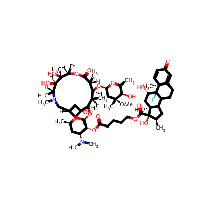 CC[C@H]1OC(=O)[C@H](C)[C@@H](O[C@@H]2C[C@](C)(OC)[C@H](O)C(C)O2)[C@H](C)[C@@H](O[C@@H]2O[C@H](C)C[C@@H](N(C)C)[C@H]2OC(=O)CCCCOC(=O)[C@@]2(O)[C@H](C)CC3C4CCC5=CC(=O)C=C[C@]5(C)[C@@]4(F)[C@@H](O)C[C@@]32C)[C@]2(O)C[C@H](CN(C)[C@H](C)[C@@H](O)[C@]1(C)O)C2